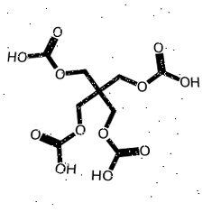 O=C(O)OCC(COC(=O)O)(COC(=O)O)COC(=O)O